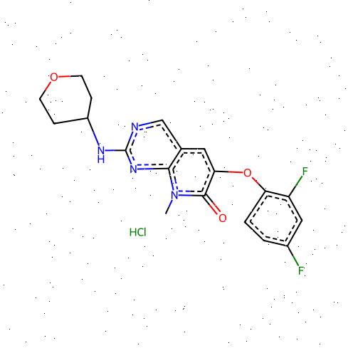 Cl.Cn1c(=O)c(Oc2ccc(F)cc2F)cc2cnc(NC3CCOCC3)nc21